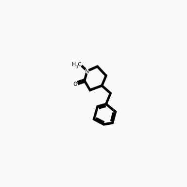 CN1CCC(Cc2ccccc2)CC1=O